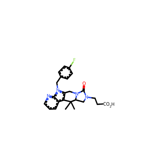 CC1(C)c2c(n(Cc3ccc(F)cc3)c3ncccc23)CN2C(=O)N(CCC(=O)O)CC21